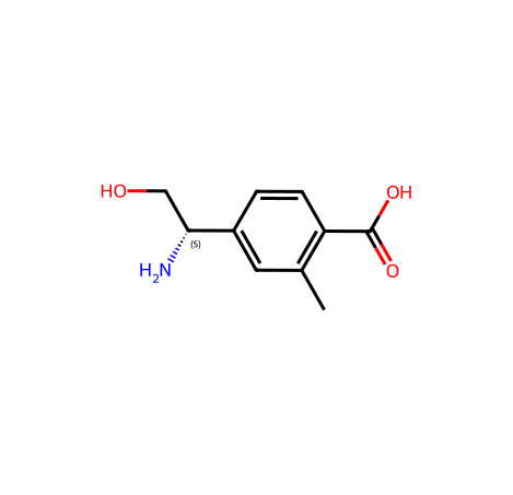 Cc1cc([C@H](N)CO)ccc1C(=O)O